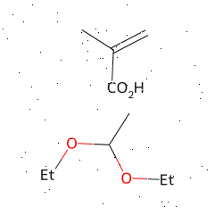 C=C(C)C(=O)O.CCOC(C)OCC